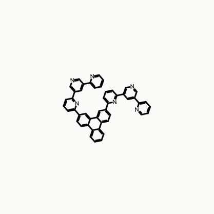 c1ccc(-c2cncc(-c3cccc(-c4ccc5c6ccccc6c6ccc(-c7cccc(-c8cncc(-c9ccccn9)c8)n7)cc6c5c4)n3)c2)nc1